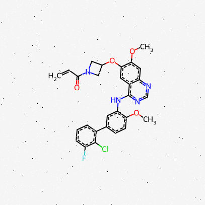 C=CC(=O)N1CC(Oc2cc3c(Nc4cc(-c5cccc(F)c5Cl)ccc4OC)ncnc3cc2OC)C1